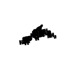 CCCC[C@H](NC(=O)/C=C(\C)c1ccc(C(F)(F)P(=O)(O)O)cc1)C(=O)N1CC2C(C)C2[C@H]1C(=O)N[C@@H](CCC(N)=O)[C@@H](C)OCc1ccc(C)cc1